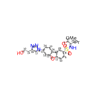 COC(=O)[C@H](NS(=O)(=O)c1ccc2oc3cc(-n4cc(CCO)nn4)ccc3c2c1)C(C)C